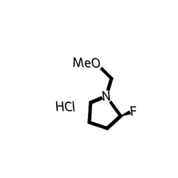 COCN1CCC[C@@H]1F.Cl